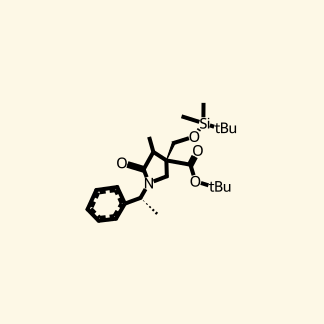 CC1C(=O)N([C@H](C)c2ccccc2)C[C@@]1(CO[Si](C)(C)C(C)(C)C)C(=O)OC(C)(C)C